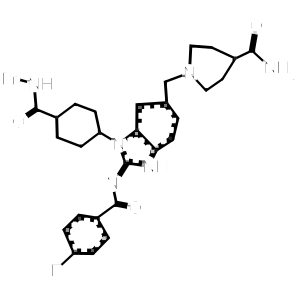 CC(C)NC(=O)C1CCC(n2/c(=N/C(=O)c3ccc(F)cc3)[nH]c3ccc(CN4CCC(C(N)=O)CC4)cc32)CC1